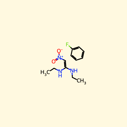 CCNC(=C[N+](=O)[O-])NCC.Fc1ccccc1